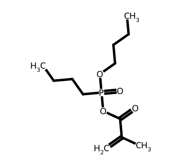 C=C(C)C(=O)OP(=O)(CCCC)OCCCC